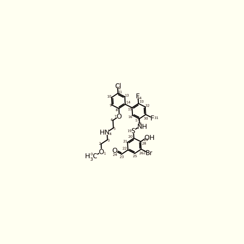 COCCNCCOc1ccc(Cl)cc1-c1cc(NSc2cc(C=O)cc(Br)c2O)c(F)cc1F